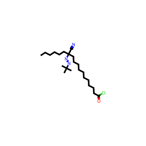 CCCCCCC(C#N)(CCCCCCCCCCC(=O)Cl)N=NC(C)(C)C